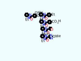 CCc1ccc(-c2nc3ccccc3n(CC)c2=O)cc1.CCn1c(=O)c(-c2ccc(C(=O)O)cc2)nc2ccccc21.CCn1c(=O)c(-c2ccc(OC)c(OC)c2)nc2ccccc21.CCn1c(=O)c(-c2ccoc2)nc2ccccc21.CCn1c(=O)c(-c2cnc(OC)nc2OC)nc2ccccc21